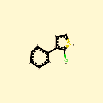 Clc1s[c]cc1-c1ccccc1